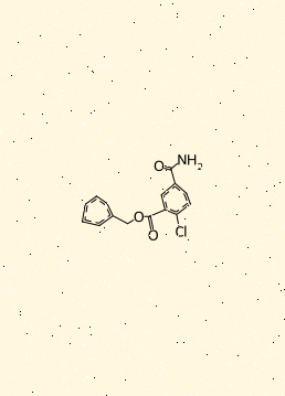 NC(=O)c1ccc(Cl)c(C(=O)OCc2ccccc2)c1